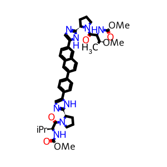 COC(=O)N[C@H](C(=O)N1CCC[C@H]1c1ncc(-c2ccc(-c3ccc4cc(-c5cnc([C@@H]6CCCN6C(=O)[C@@H](NC(=O)OC)[C@@H](C)OC)[nH]5)ccc4c3)cc2)[nH]1)C(C)C